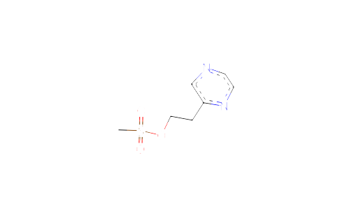 CS(=O)(=O)OCCc1cnccn1